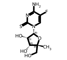 C[C@]1(CO)O[C@@H](n2cc(F)c(N)nc2=S)[C@@H](O)[C@H]1O